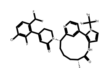 [2H]C([2H])([2H])n1ccc2c1-c1ccnc(c1)[C@@H](N1CCC(c3c(C(F)F)ccc(Cl)c3F)=CC1=O)CCC[C@@H](C)C(=O)N2